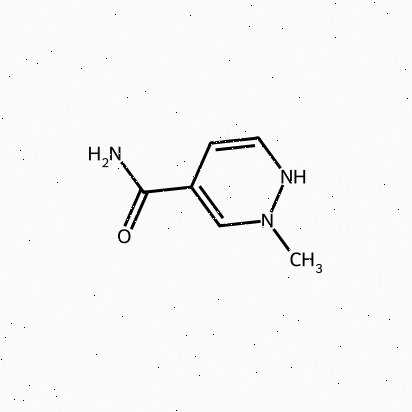 CN1C=C(C(N)=O)C=CN1